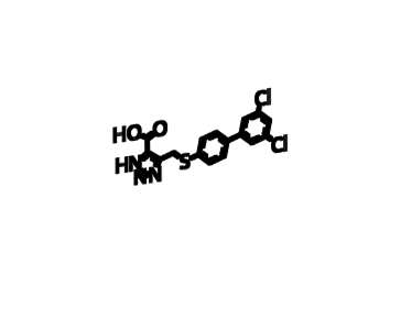 O=C(O)c1[nH]nnc1CSc1ccc(-c2cc(Cl)cc(Cl)c2)cc1